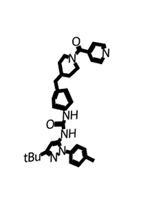 Cc1ccc(-n2nc(C(C)(C)C)cc2NC(=O)Nc2ccc(CC3CCN(C(=O)c4ccncc4)CC3)cc2)cc1